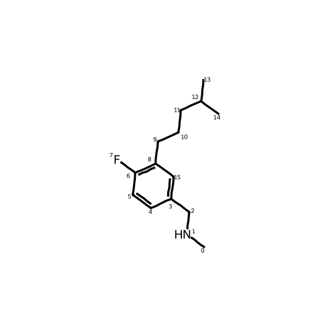 CNCc1ccc(F)c(CCCC(C)C)c1